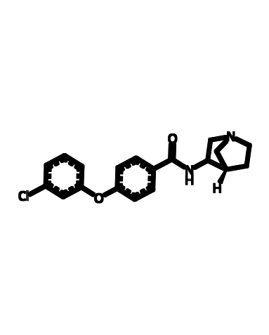 O=C(NC1CN2CC[C@H]1C2)c1ccc(Oc2cccc(Cl)c2)cc1